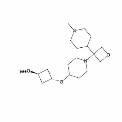 CO[C@H]1C[C@H](OC2CCN(C3(C4CCN(C)CC4)COC3)CC2)C1